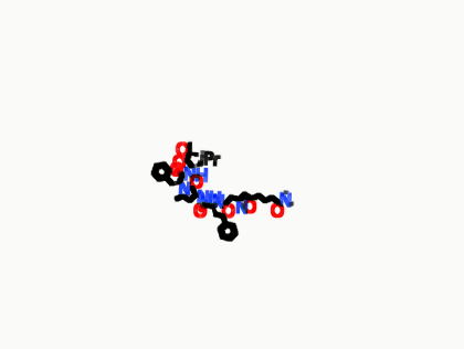 CC(C)C[C@H](NC(=O)[C@H](Cc1ccccc1)N1C(=O)[C@@H](NC(=O)[C@H](CCc2ccccc2)NC(=O)Cc2cc(CCCC(=O)N(C)C)on2)CC1C)C(=O)[C@@]1(C)CO1